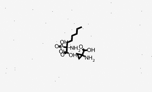 CCCCCC[C@@](N)(C(=O)O)P(=O)(O)O.NC1(C(=O)O)CC1